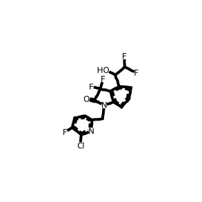 O=C1N(Cc2ccc(F)c(Cl)n2)c2cccc(C(O)C(F)F)c2C1(F)F